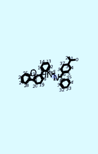 CC(C)C1CC=C(C(/N=C/Nc2ccccc2C2=CCCc3c2oc2ccccc32)[C@H]2C=CCCC2)CC1